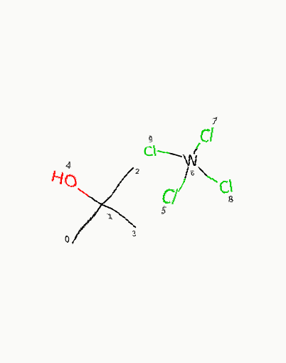 CC(C)(C)O.[Cl][W]([Cl])([Cl])[Cl]